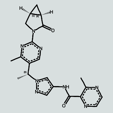 Cc1nc(N2C[C@H]3C[C@H]3C2=O)ncc1[C@@H](C)n1cc(NC(=O)c2nccnc2C)cn1